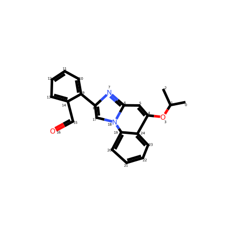 CC(C)Oc1cc2nc(-c3ccccc3C=O)cn2c2ccccc12